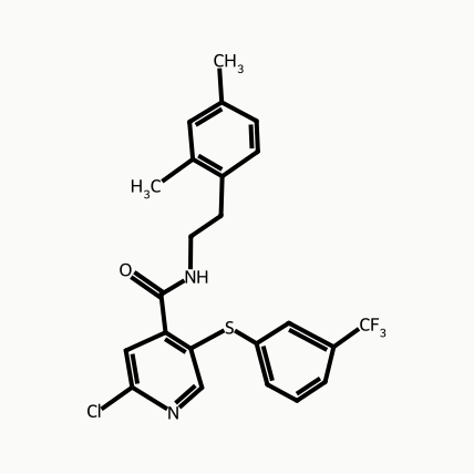 Cc1ccc(CCNC(=O)c2cc(Cl)ncc2Sc2cccc(C(F)(F)F)c2)c(C)c1